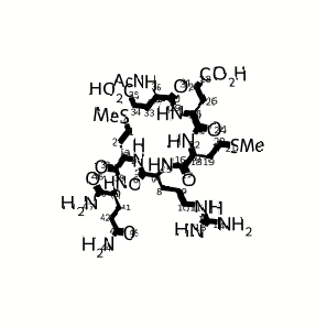 CSCC[C@H](NC(=O)[C@H](CCCNC(=N)N)NC(=O)[C@H](CCSC)NC(=O)[C@H](CCC(=O)O)NC(=O)[C@H](CCC(=O)O)NC(C)=O)C(=O)N[C@@H](CCC(N)=O)C(N)=O